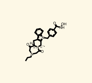 CCCN1CC(=O)[C@@H]2Cc3c(n(Cc4ccc(C(=O)NO)cc4)c4ccccc34)[C@H](C)N2C(=O)C1